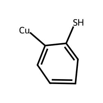 Sc1cccc[c]1[Cu]